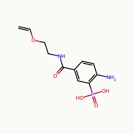 C=COCCNC(=O)c1ccc(N)c(P(=O)(O)O)c1